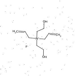 C=CC[N+](CC=C)(CCO)CCO.[F-]